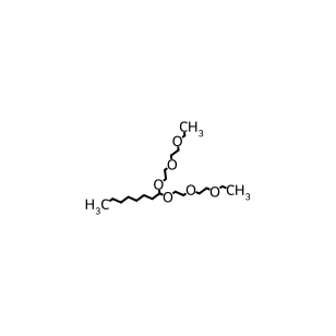 CCCCCCCC(OCCOCCOCC)OCCOCCOCC